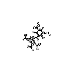 COC(=O)c1c(I)c(N)c(I)c(C(=O)NC(COC(C)=O)(COC(C)=O)COC(C)=O)c1I